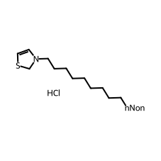 CCCCCCCCCCCCCCCCCCN1C=CSC1.Cl